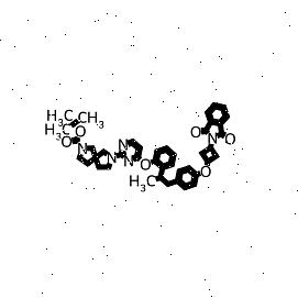 CC(Cc1ccc(OC2CC(N3C(=O)c4ccccc4C3=O)C2)cc1)c1ccccc1Oc1ccnc(N2CCC3(CCN(C(=O)OC(C)(C)C)C3)C2)n1